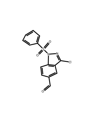 O=Cc1ccc2c(c1)c(Cl)nn2S(=O)(=O)c1ccccc1